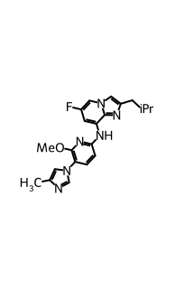 COc1nc(Nc2cc(F)cn3cc(CC(C)C)nc23)ccc1-n1cnc(C)c1